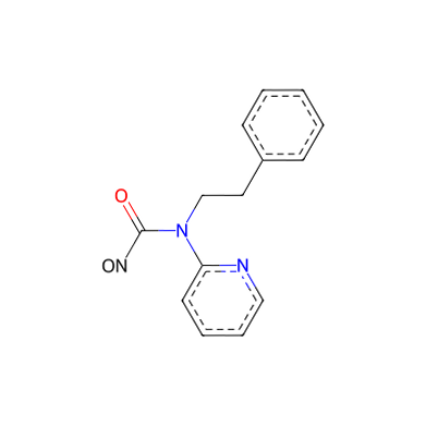 O=NC(=O)N(CCc1ccccc1)c1ccccn1